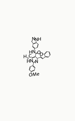 COc1ccc(C2=NC(c3cc4ccccc4o3)C(C(=O)Nc3ccc4[nH]ncc4c3)=C(C)N2)cc1